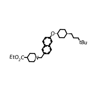 CCOC(=O)C1CCN(Cc2ccc3cc(O[C@H]4CC[C@H](CCCC(C)(C)C)CC4)ccc3c2)CC1